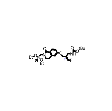 CCOP(=O)(CN1CCc2cc(OC/C(=C/F)CNC(=O)OC(C)(C)C)ccc2C1=O)OCC